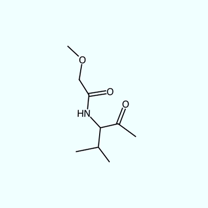 COCC(=O)NC(C(C)=O)C(C)C